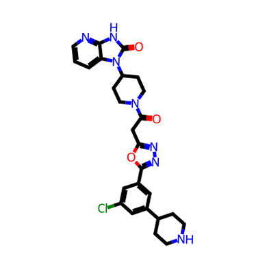 O=C(Cc1nnc(-c2cc(Cl)cc(C3CCNCC3)c2)o1)N1CCC(n2c(=O)[nH]c3ncccc32)CC1